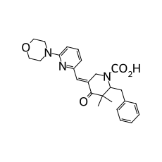 CC1(C)C(=O)C(=Cc2cccc(N3CCOCC3)n2)CN(C(=O)O)C1Cc1ccccc1